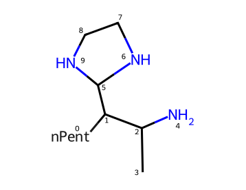 CCCCCC(C(C)N)C1NCCN1